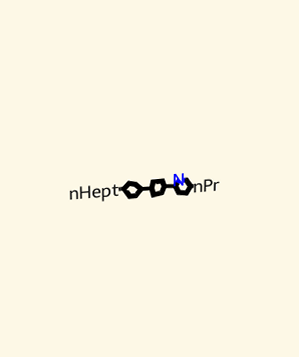 CCCCCCCc1ccc(-c2ccc(-c3ccc(CCC)cn3)cc2)cc1